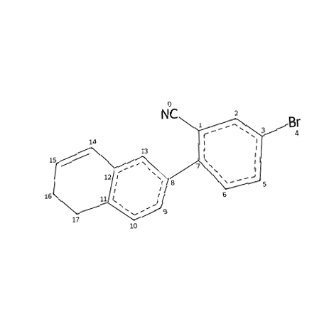 N#Cc1cc(Br)ccc1-c1ccc2c(c1)C=CCC2